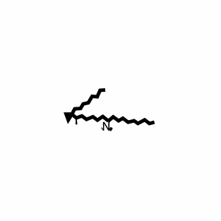 CCCCCCCCCC(CCCCC[C@@H](C)C1(CCCCCCCC)CC1)N(C)C